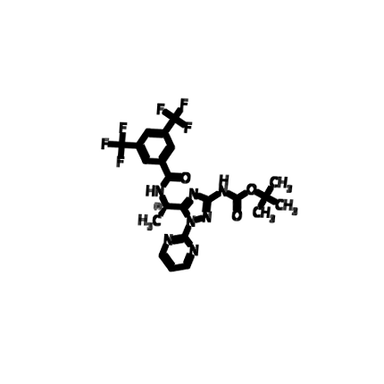 C[C@@H](NC(=O)c1cc(C(F)(F)F)cc(C(F)(F)F)c1)c1nc(NC(=O)OC(C)(C)C)nn1-c1ncccn1